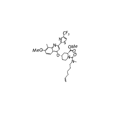 C=CCCCCN(C)C(=O)N1CC[C@H](Oc2cc(-c3nc(C(F)(F)F)cs3)nc3c(C)c(OC)ccc23)C[C@H]1C(=O)OC